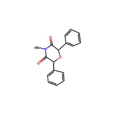 CCCCN1C(=O)C(c2ccccc2)OC(c2ccccc2)C1=O